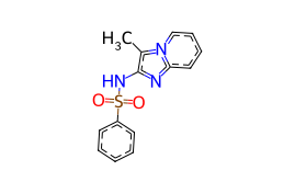 Cc1c(NS(=O)(=O)c2ccccc2)nc2ccccn12